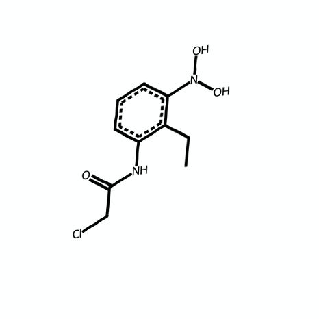 CCc1c(NC(=O)CCl)cccc1N(O)O